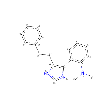 CN(C)c1ccccc1-c1nc[nH]c1CCc1ccccc1